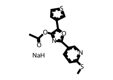 CSc1ccc(-c2nc(OC(C)=O)c(-c3ccsc3)o2)cn1.[NaH]